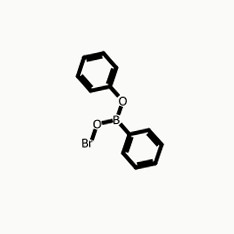 BrOB(Oc1ccccc1)c1ccccc1